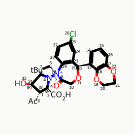 CC(=O)[C@H]1[C@@H](C(=O)O)N([N@+]2(CC(C)(C)C)C(=O)CO[C@H](c3cccc4c3OCCO4)c3cc(Cl)ccc32)C[C@@H]1O